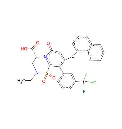 CCN1C[C@H](C(=O)O)n2c(c(-c3cccc(C(F)(F)F)c3)c(Cc3cccc4ccccc34)cc2=O)S1(=O)=O